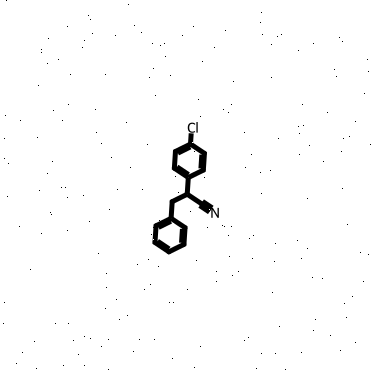 N#CC(Cc1ccccc1)c1ccc(Cl)cc1